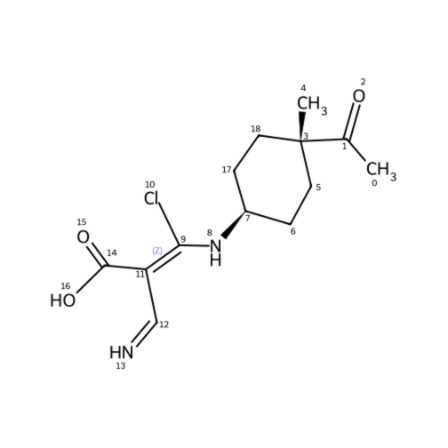 CC(=O)[C@]1(C)CC[C@@H](N/C(Cl)=C(\C=N)C(=O)O)CC1